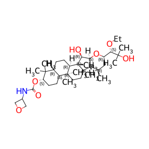 CCO[C@@H]([C@H]1C[C@@H](C)[C@H]2[C@H](O1)[C@H](O)[C@@]1(C)[C@@H]3CC[C@H]4C(C)(C)[C@@H](OC(=O)NC5COC5)CC[C@]4(C)[C@]3(C)CC[C@]21C)C(C)(C)O